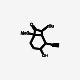 C#CC1C(O)CCC2(OC)C(=O)C(CCCC)C12